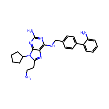 NCCc1nc2c(NCc3ccc(-c4ccccc4N)cc3)nc(N)nc2n1C1CCCC1